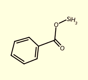 O=C(O[SiH3])c1ccccc1